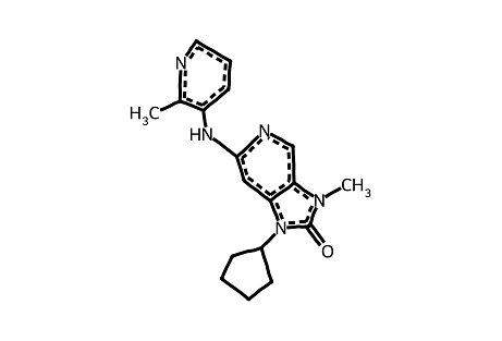 Cc1ncccc1Nc1cc2c(cn1)n(C)c(=O)n2C1CCCC1